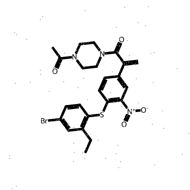 C=C(C(=O)N1CCN(C(C)=O)CC1)c1ccc(Sc2ccc(Br)cc2CC)c([N+](=O)[O-])c1